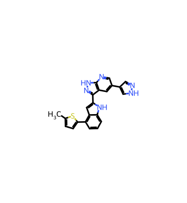 Cc1ccc(-c2cccc3[nH]c(-c4n[nH]c5ncc(-c6cn[nH]c6)cc45)cc23)s1